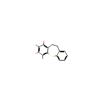 CC(=O)c1c(O)c2c(c(C(C)=O)c1O)Sc1ccccc1CC2